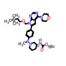 CN(c1ccc(-c2cc3c(N4CCOCC4)ncnc3n2COCC[Si](C)(C)C)cc1)N1CCC[C@@H](NC(=O)OC(C)(C)C)C1